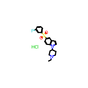 CCN1CCC(n2ccc3cc(S(=O)(=O)c4cccc(F)c4)ccc32)CC1.Cl